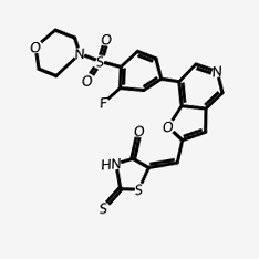 O=C1NC(=S)SC1=Cc1cc2cncc(-c3ccc(S(=O)(=O)N4CCOCC4)c(F)c3)c2o1